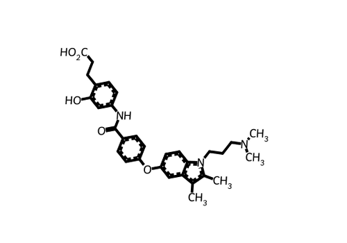 Cc1c(C)n(CCCN(C)C)c2ccc(Oc3ccc(C(=O)Nc4ccc(CCC(=O)O)c(O)c4)cc3)cc12